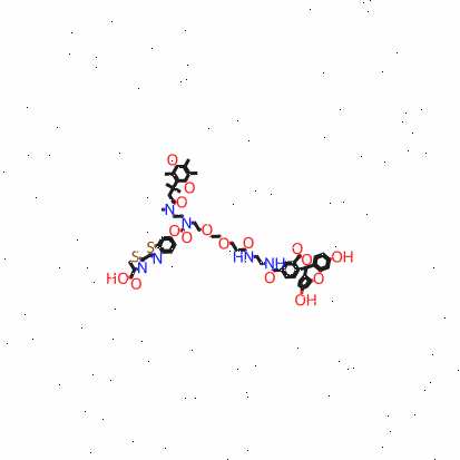 CC1=C(C)C(=O)C(C(C)(C)CC(=O)N(C)CCN(CCOCCOCCC(=O)NCCNC(=O)c2ccc3c(c2)C(=O)OC32c3ccc(O)cc3Oc3cc(O)ccc32)C(=O)Oc2ccc3nc(C4=NC(C(=O)O)CS4)sc3c2)=C(C)C1=O